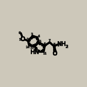 COc1ccc2c(CC(N)=O)c[nH]c2c1